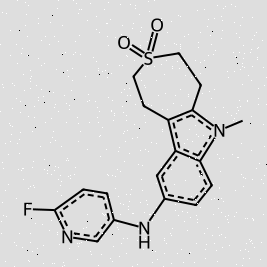 Cn1c2c(c3cc(Nc4ccc(F)nc4)ccc31)CCS(=O)(=O)CC2